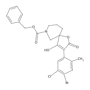 Cc1cc(Br)c(Cl)cc1C1=C(O)C2(CCCN(C(=O)OCc3ccccc3)C2)OC1=O